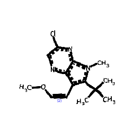 CO/C=C\c1c(C(C)(C)C)n(C)c2nc(Cl)cnc12